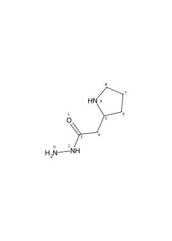 NNC(=O)CC1CCCN1